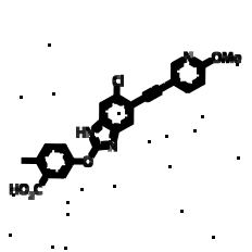 COc1ccc(C#Cc2cc3nc(Oc4ccc(C)c(C(=O)O)c4)[nH]c3cc2Cl)cn1